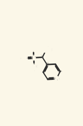 O=P(O)(O)C(O)c1ccncc1